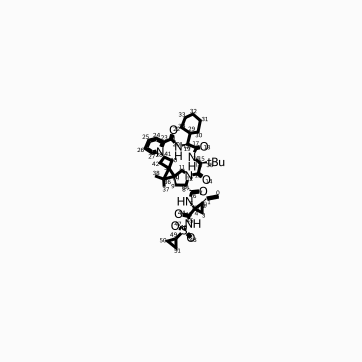 C=C[C@@H]1C[C@]1(NC(=O)[C@@H]1C[C@@]2(CN1C(=O)[C@@H](NC(=O)[C@@H](NC(=O)c1ccccn1)C1CCCCC1)C(C)(C)C)C(C)(C)C21CCC1)C(=O)NS(=O)(=O)C1CC1